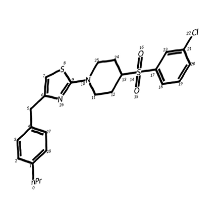 CCCc1ccc(Cc2csc(N3CCC(S(=O)(=O)c4cccc(Cl)c4)CC3)n2)cc1